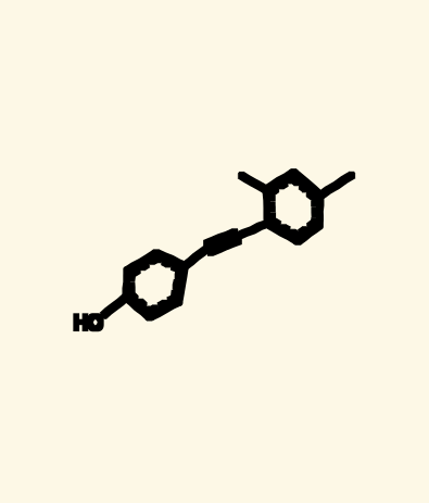 Cc1ccc(C#Cc2ccc(O)cc2)c(C)c1